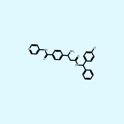 NC(CC(=O)NC(c1ccccc1)c1ccc(Cl)cc1)c1ccc(C(=O)Nc2ccncc2)cc1